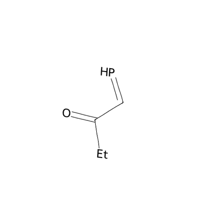 CCC(=O)C=P